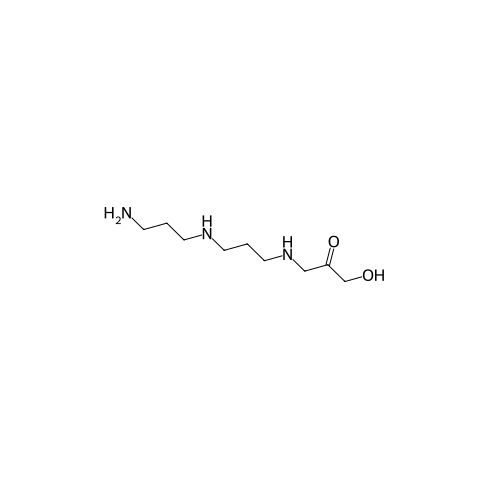 NCCCNCCCNCC(=O)CO